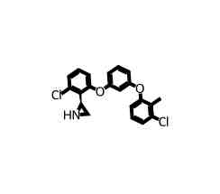 Cc1c(Cl)cccc1Oc1cccc(Oc2cccc(Cl)c2[C@H]2CN2)c1